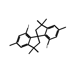 Cc1cc(I)c2c(c1)C(C)(C)CC21CC(C)(C)c2cc(C)cc(I)c21